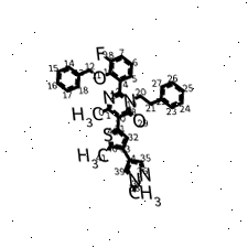 Cc1nc(-c2cccc(F)c2OCc2ccccc2)n(CCc2ccccc2)c(=O)c1-c1cc(-c2cnn(C)c2)c(C)s1